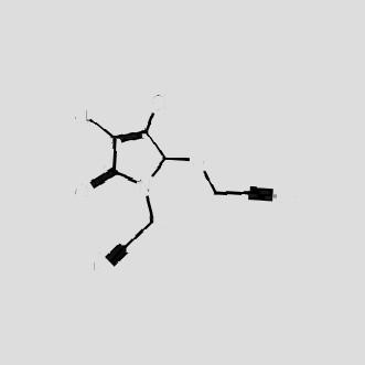 C#CCOC1C(Cl)=C(Cl)C(=O)N1CC#C